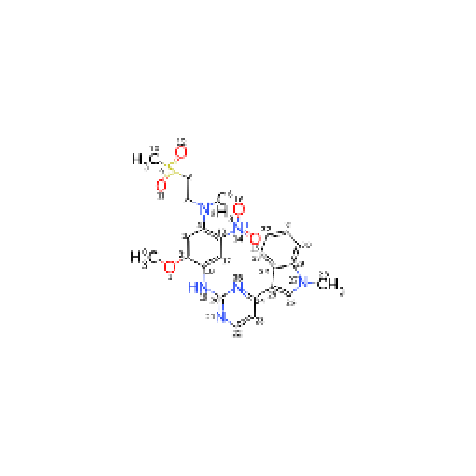 COc1cc(N(C)CCS(C)(=O)=O)c([N+](=O)[O-])cc1Nc1nccc(-c2cn(C)c3ccccc23)n1